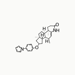 CC1C=C2NC(=O)CC[C@]2(C)[C@@H]2CC[C@]3(C)CC(Oc4ccc(-n5cccc5)cc4)C[C@H]3[C@H]12